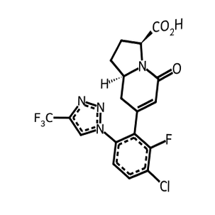 O=C(O)[C@@H]1CC[C@@H]2CC(c3c(-n4cc(C(F)(F)F)nn4)ccc(Cl)c3F)=CC(=O)N21